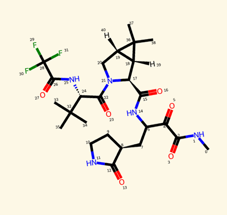 CNC(=O)C(=O)C(C[C@@H]1CCNC1=O)NC(=O)[C@@H]1[C@@H]2[C@H](CN1C(=O)[C@@H](NC(=O)C(F)(F)F)C(C)(C)C)C2(C)C